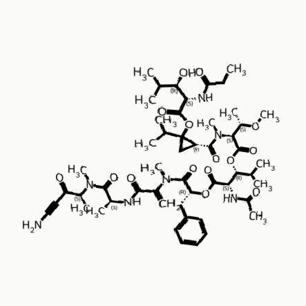 C=C(C(=O)N[C@@H](C)C(=O)N(C)[C@@H](C)C(=O)C#CN)N(C)C(=O)[C@@H](Cc1ccccc1)OC(=O)[C@@H](NC(C)=O)[C@H](OC(=O)[C@H]([C@H](C)OC)N(C)C(=O)[C@@H]1CC1(OC(=O)[C@@H](NC(=O)CC)[C@H](O)C(C)C)C(C)C)C(C)C